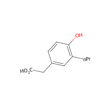 CCCc1cc(CC(=O)O)ccc1O